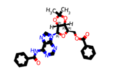 CC1(C)O[C@@H]2[C@H](O1)[C@@H](COC(=O)c1ccccc1)O[C@H]2n1cnc2c(NC(=O)c3ccccc3)ncnc21